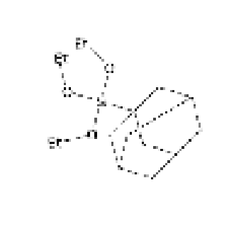 CCO[Si](OCC)(OCC)C12CC3CC(CC(C3)C1)C2